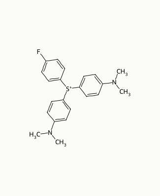 CN(C)c1ccc([S+](c2ccc(F)cc2)c2ccc(N(C)C)cc2)cc1